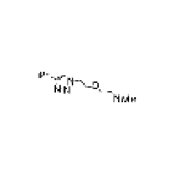 CNCCOCCn1cc(C(C)C)nn1